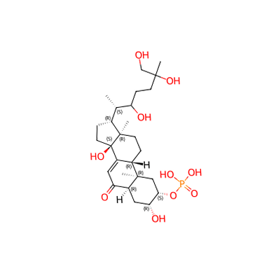 C[C@H](C(O)CCC(C)(O)CO)[C@H]1CC[C@@]2(O)C3=CC(=O)[C@@H]4C[C@@H](O)[C@@H](OP(=O)(O)O)C[C@]4(C)[C@H]3CC[C@]12C